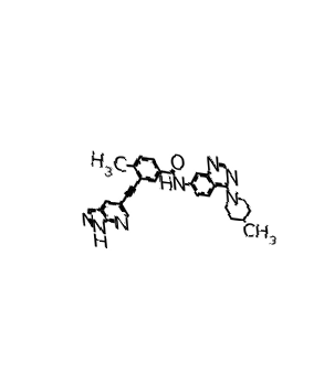 Cc1ccc(C(=O)Nc2ccc3c(N4CCC(C)CC4)ncnc3c2)cc1C#Cc1cnc2[nH]ncc2c1